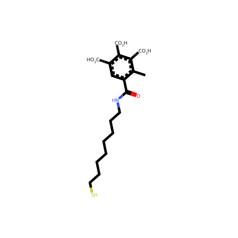 Cc1c(C(=O)NCCCCCCCCS)cc(C(=O)O)c(C(=O)O)c1C(=O)O